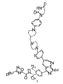 Cc1cc(-c2n[nH]c3ncc(-c4ccc(N5CCN(CC6CCN(c7ccc(N8CCC(=O)NC8=O)cc7)CC6)CC5)nc4)cc23)ccc1[C@@H](C)NC(=O)c1nc(C(C)(C)C)no1